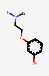 CCN(CC)CCOc1cccc(O)c1